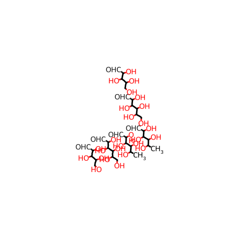 CC(O)C(O)C(O)C(O)C=O.CC(O)C(O)C(O)C(O)C=O.O=CC(O)C(O)C(O)C(O)CO.O=CC(O)C(O)C(O)C(O)CO.O=CC(O)C(O)C(O)CO.O=CC(O)C(O)C(O)CO